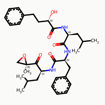 CC(C)C[C@H](NC(=O)[C@@H](O)CCc1ccccc1)C(=O)N[C@@H](Cc1ccccc1)C(=O)N[C@@H](CC(C)C)C(=O)[C@@]1(C)CO1